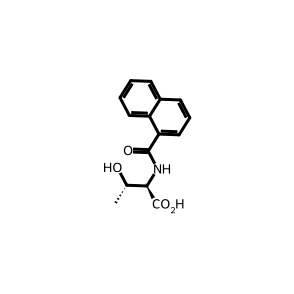 C[C@H](O)[C@@H](NC(=O)c1cccc2ccccc12)C(=O)O